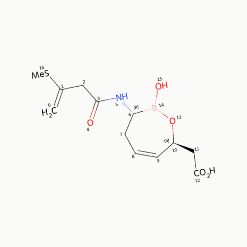 C=C(CC(=O)N[C@H]1CC=C[C@H](CC(=O)O)OB1O)SC